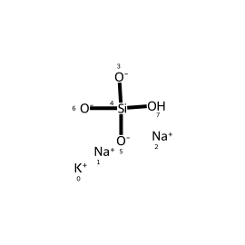 [K+].[Na+].[Na+].[O-][Si]([O-])([O-])O